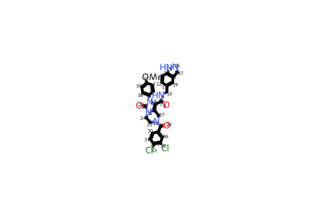 COc1ccc(-n2c(C(=O)NCc3ccc4[nH]ncc4c3)c3n(c2=O)CCN(C(=O)c2ccc(Cl)c(Cl)c2)C3)cc1